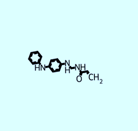 C=CC(=O)NCNc1ccc(Nc2ccccc2)cc1